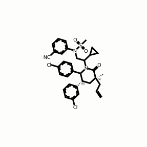 C=CC[C@@]1(C)C[C@H](c2cccc(Cl)c2)C(c2ccc(Cl)cc2)N(C(CN(c2cccc(C#N)c2)S(C)(=O)=O)C2CC2)C1=O